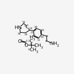 CC(C)(C)OC=O.NCCc1ccc(C2CCNCC2)cc1